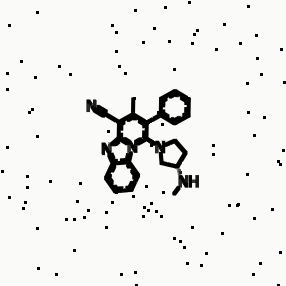 CN[C@H]1CCN(c2c(-c3ccccc3)c(C)c(C#N)c3nc4ccccc4n23)C1